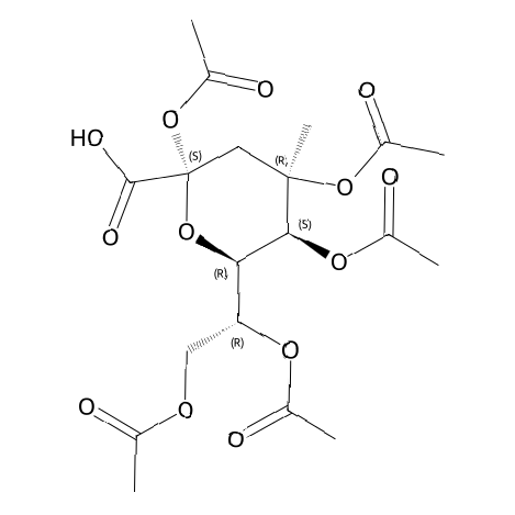 CC(=O)OC[C@@H](OC(C)=O)[C@H]1O[C@@](OC(C)=O)(C(=O)O)C[C@@](C)(OC(C)=O)[C@H]1OC(C)=O